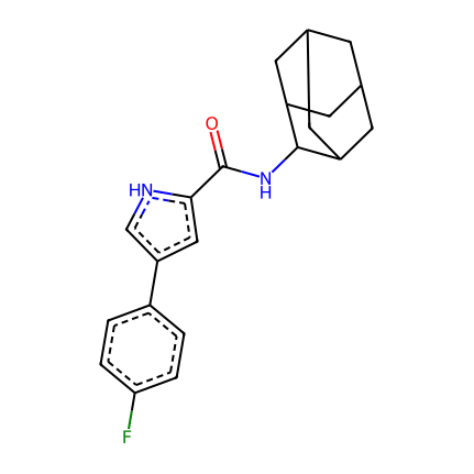 O=C(NC1C2CC3CC(C2)CC1C3)c1cc(-c2ccc(F)cc2)c[nH]1